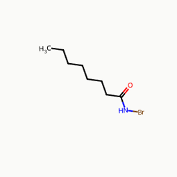 CCCCCCCC(=O)NBr